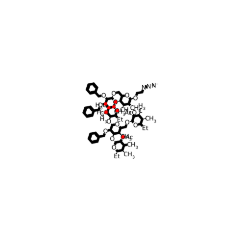 CCC1O[C@H](OCC2O[C@@H](O[C@@H]3C(CC)O[C@@H](O[C@@H]4C(CO[C@@H]5O[C@@H](C)[C@@H](C)C(OCc6ccccc6)C5OCc5ccccc5)O[C@@H](OCCN=[N+]=[N-])C(C)[C@@H]4C)C(C)[C@@H]3C)C(OCc3ccccc3)[C@H](O[C@H]3O[C@@H](CC)[C@@H](C)C(C)C3OC(C)=O)[C@@H]2C)C(OC(C)=O)[C@H](C)[C@@H]1C